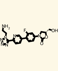 NCCn1nnnc1-c1ccc(-c2ccc(N3C[C@H](CO)OC3=O)cc2F)cn1